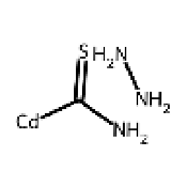 NN.N[C](=S)[Cd]